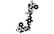 CCCN(Cc1ncc(-c2cc3c(C)c4sc(-c5cnc(CN(CCC)C(=O)C(NC(=O)OC)c6ccccc6)[nH]5)cc4c(C)c3s2)[nH]1)C(=O)C(NC(=O)OC)c1ccccc1